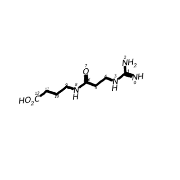 N=C(N)NCCC(=O)NCCCC(=O)O